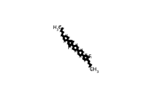 CCCCCc1ccc(C2CCC(C3CCC(c4ccc(C5CCC(CCCCC)CC5)cc4F)CC3)CC2)cc1F